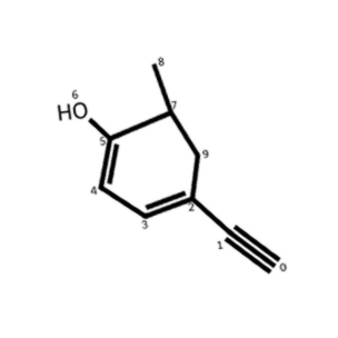 C#CC1=CC=C(O)C(C)C1